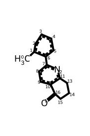 Cc1ccccc1-c1ccc2c(n1)CCCC2=O